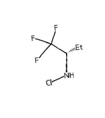 CC[C@H](NCl)C(F)(F)F